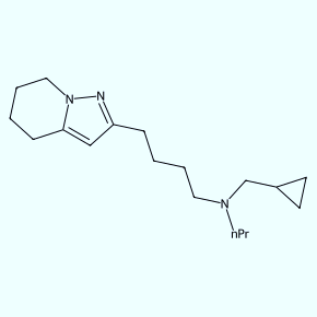 CCCN(CCCCc1cc2n(n1)CCCC2)CC1CC1